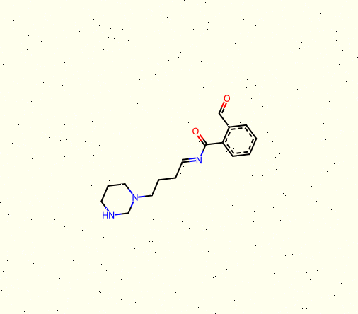 O=Cc1ccccc1C(=O)N=CCCCN1CCCNC1